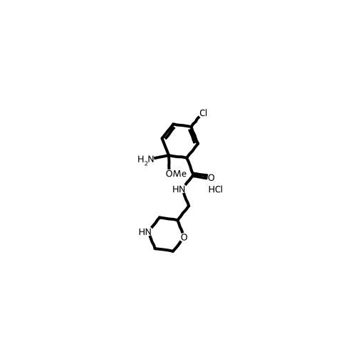 COC1(N)C=CC(Cl)=CC1C(=O)NCC1CNCCO1.Cl